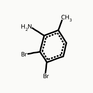 Cc1ccc(Br)c(Br)c1N